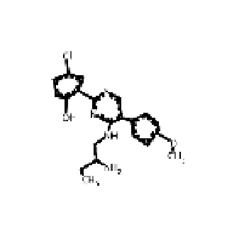 CCC(N)CNc1nc(-c2cc(Cl)ccc2O)ncc1-c1ccc(OC)cc1